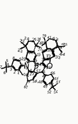 Cc1cc(C(C)(C)C)ccc1N1C2=C3B(c4cc5c(cc41)C(C)(C)CCC5(C)C)c1c(oc4cc5c(cc14)C(C)(C)CCC5(C)C)C(C1C=CC(C(C)(C)C)=CC1)C3=CC(C)C2